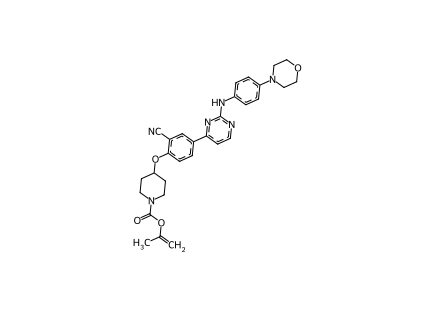 C=C(C)OC(=O)N1CCC(Oc2ccc(-c3ccnc(Nc4ccc(N5CCOCC5)cc4)n3)cc2C#N)CC1